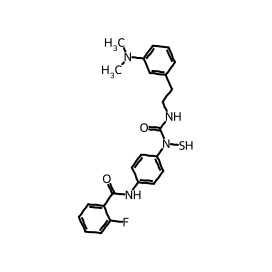 CN(C)c1cccc(CCNC(=O)N(S)c2ccc(NC(=O)c3ccccc3F)cc2)c1